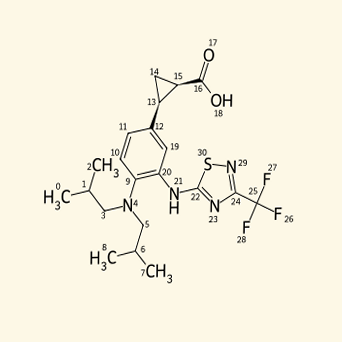 CC(C)CN(CC(C)C)c1ccc([C@H]2C[C@H]2C(=O)O)cc1Nc1nc(C(F)(F)F)ns1